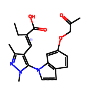 CC/C(=C\c1c(C)nn(C)c1-n1ccc2ccc(OCC(C)=O)cc21)C(=O)O